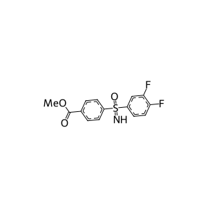 COC(=O)c1ccc(S(=N)(=O)c2ccc(F)c(F)c2)cc1